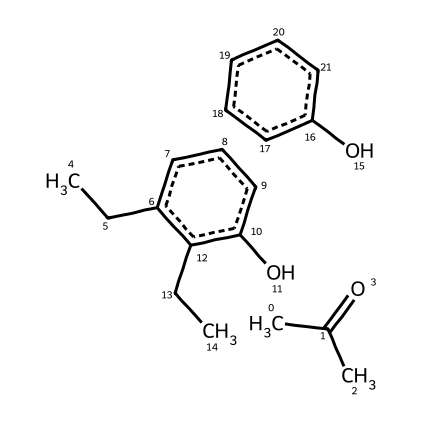 CC(C)=O.CCc1cccc(O)c1CC.Oc1ccccc1